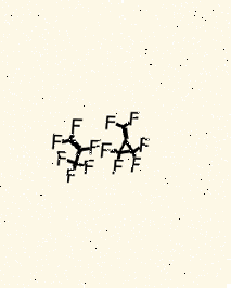 FC(F)=C(F)C(F)(F)F.FC(F)=C1C(F)(F)C1(F)F